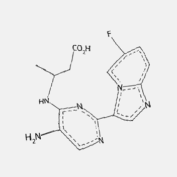 CC(CC(=O)O)Nc1nc(-c2cnc3ccc(F)cn23)ncc1N